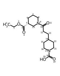 CCOC(=O)[C@@H]1CCCN(C(=O)CCC2CCN(C(=O)O)CC2)C1